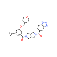 O=C(c1cc(OCC2CCOCC2)cc(C2CC2)c1)N1CC2CN(C(=O)C3CCc4[nH]nnc4C3)CC2C1